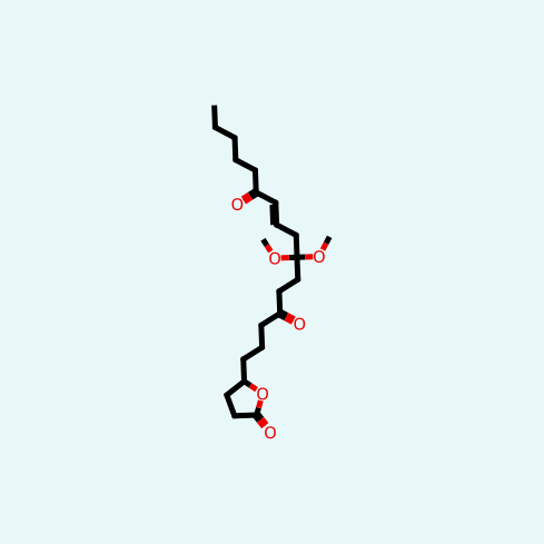 CCCCCC(=O)/C=C/CC(CCC(=O)CCCC1CCC(=O)O1)(OC)OC